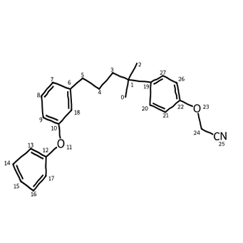 CC(C)(CCCc1cccc(Oc2ccccc2)c1)c1ccc(OCC#N)cc1